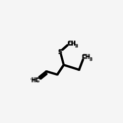 [CH]=CCC(CC)SC